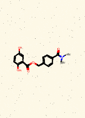 CCCCN(CCCC)C(=O)c1ccc(COC(=O)c2cc(O)ccc2O)cc1